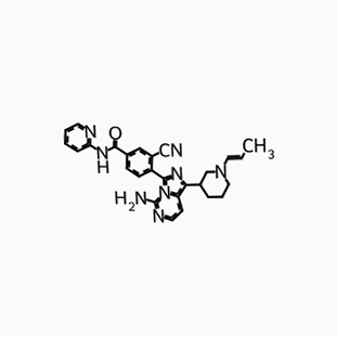 CC=CN1CCCC(c2nc(-c3ccc(C(=O)Nc4ccccn4)cc3C#N)n3c(N)nccc23)C1